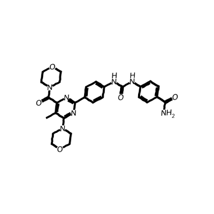 Cc1c(C(=O)N2CCOCC2)nc(-c2ccc(NC(=O)Nc3ccc(C(N)=O)cc3)cc2)nc1N1CCOCC1